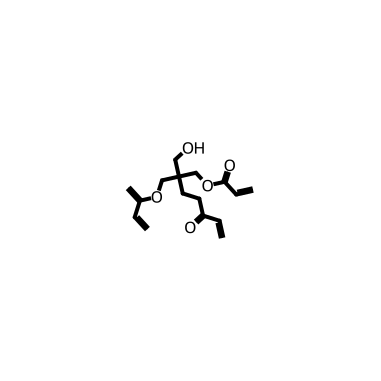 C=CC(=C)OCC(CO)(CCC(=O)C=C)COC(=O)C=C